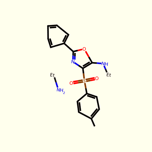 CCN.CCNc1oc(-c2ccccc2)nc1S(=O)(=O)c1ccc(C)cc1